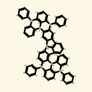 c1ccc(N2c3ccccc3B3c4cc5c(cc4N(c4ccccc4)c4cccc2c43)c2cccc3c4c6c(ccc4n5c23)N(c2ccccc2)c2cccc3c2B6c2ccccc2N3c2ccccc2)cc1